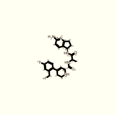 CC(NC(=O)[C@H]1C=C(c2ccc(F)cc2CF)CCN1)C(=O)N[C@@H]1CCc2nc(N)ccc21